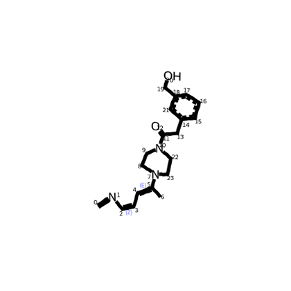 C=N/C=C\C=C(/C)N1CCN(C(=O)Cc2cccc(CO)c2)CC1